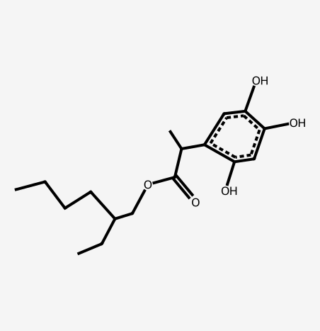 CCCCC(CC)COC(=O)C(C)c1cc(O)c(O)cc1O